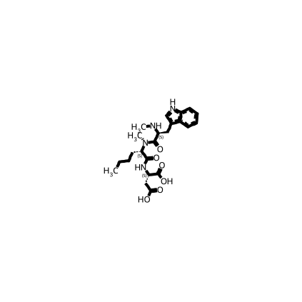 CCCC[C@@H](C(=O)N[C@@H](CC(=O)O)C(=O)O)N(C)C(=O)[C@H](Cc1c[nH]c2ccccc12)NC